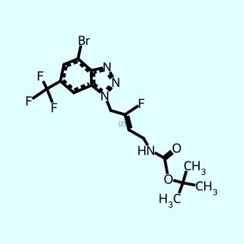 CC(C)(C)OC(=O)NC/C=C(\F)Cn1nnc2c(Br)cc(C(F)(F)F)cc21